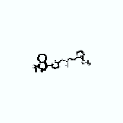 CN1CCCC1CCNCc1ccc(-c2c[nH]c(=O)c3c2CCCC3)o1